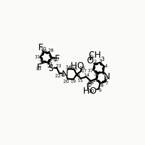 COc1ccc2ncc(CO)c([C@H](F)CCC3(CO)CCN(CCSc4c(F)cc(F)cc4F)CC3)c2c1